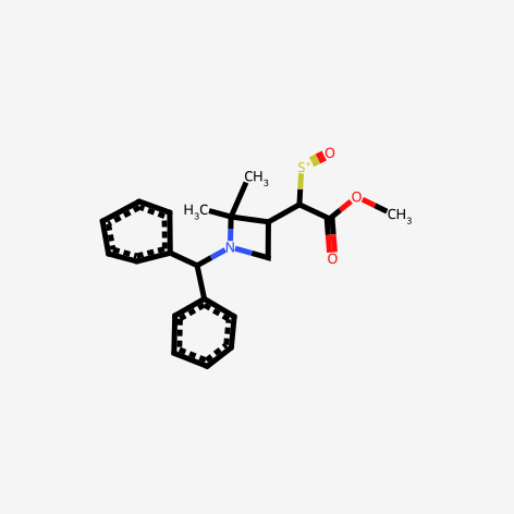 COC(=O)C([S+]=O)C1CN(C(c2ccccc2)c2ccccc2)C1(C)C